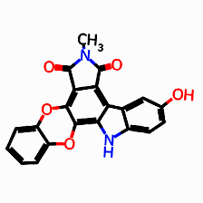 Cn1c(=O)c2c3oc4ccccc4oc3c3[nH]c4ccc(O)cc4c3c2c1=O